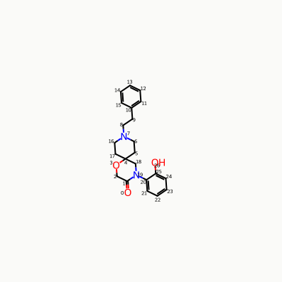 O=C1COC2(CCN(CCc3ccccc3)CC2)CN1c1ccccc1O